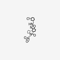 O=C1OCCN1CCN(C(=O)c1ccc2oc(NCc3cccc(Cl)c3)nc2c1)C1CCCC1